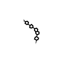 Fc1ccc(-c2ccc3ccc(-c4ccc(-c5ccc(I)cc5)cc4)cc3c2)cc1